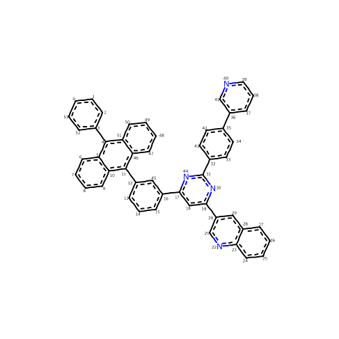 c1ccc(-c2c3ccccc3c(-c3cccc(-c4cc(-c5cnc6ccccc6c5)nc(-c5ccc(-c6cccnc6)cc5)n4)c3)c3ccccc23)cc1